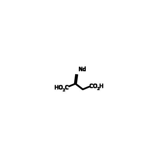 C=C(CC(=O)O)C(=O)O.[Nd]